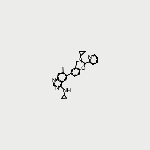 Cc1cc2ncnc(NC3CC3)c2cc1-c1cccc(CN(C(=O)c2ccccn2)C2CC2)c1